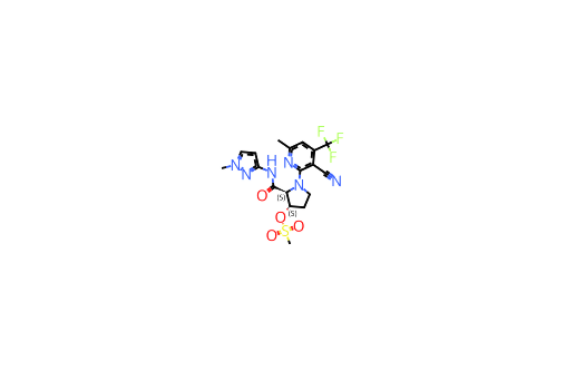 Cc1cc(C(F)(F)F)c(C#N)c(N2CC[C@H](OS(C)(=O)=O)[C@H]2C(=O)Nc2ccn(C)n2)n1